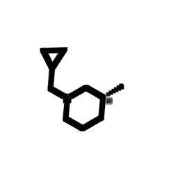 C[C@@H]1CCCN(CC2CC2)C1